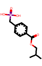 CC(C)COC(=O)c1ccc(CP(=O)(O)O)cc1